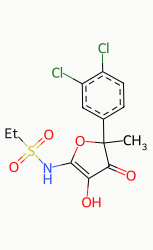 CCS(=O)(=O)NC1=C(O)C(=O)C(C)(c2ccc(Cl)c(Cl)c2)O1